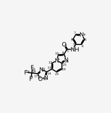 O=C(Nc1ccncc1)c1cn2cc(-c3noc(C(F)(F)F)n3)ccc2n1